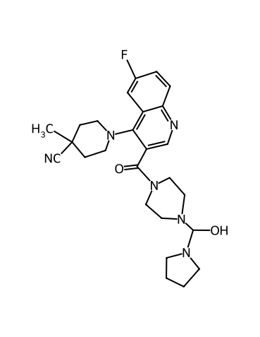 CC1(C#N)CCN(c2c(C(=O)N3CCN(C(O)N4CCCC4)CC3)cnc3ccc(F)cc23)CC1